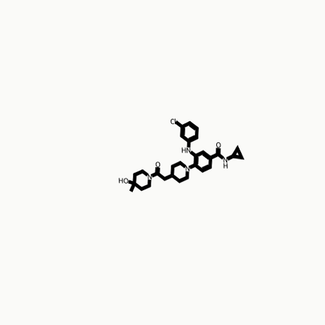 CC1(O)CCN(C(=O)CC2CCN(c3ccc(C(=O)NC4CC4)cc3Nc3cccc(Cl)c3)CC2)CC1